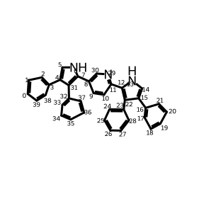 c1ccc(-c2c[nH]c(-c3ccc(-c4[nH]cc(-c5ccccc5)c4-c4ccccc4)nc3)c2-c2ccccc2)cc1